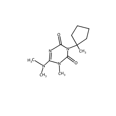 CN(C)c1nc(=O)n(C2(C)CCCC2)c(=O)n1C